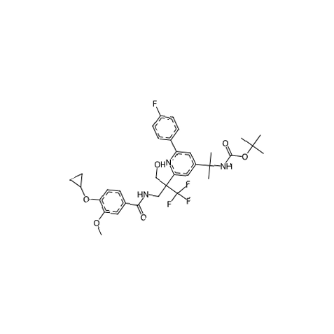 COc1cc(C(=O)NCC(CO)(c2cc(C(C)(C)NC(=O)OC(C)(C)C)cc(-c3ccc(F)cc3)n2)C(F)(F)F)ccc1OC1CC1